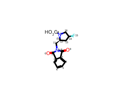 O=C1c2ccccc2C(=O)N1C[C@@H]1CC(F)CN1C(=O)O